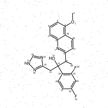 COc1cccc2nc(C(C)C(O)(Cc3nc[nH]n3)c3ccc(F)cc3F)ccc12